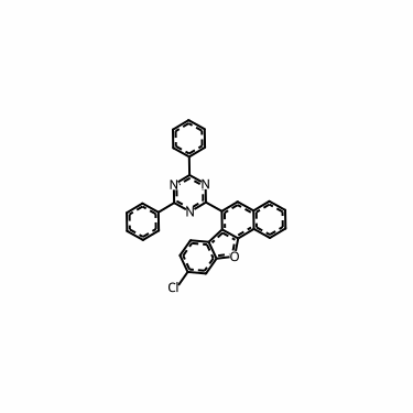 Clc1ccc2c(c1)oc1c3ccccc3cc(-c3nc(-c4ccccc4)nc(-c4ccccc4)n3)c21